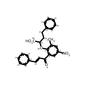 Cc1cc([N+](=O)[O-])cc(C(=O)/C=C/c2ccccc2)c1OC(CCc1ccccc1)C(=O)O